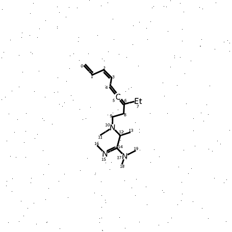 C=C/C=C\C=C=C(CC)CCN(C)C(C)/C(=N\C)N(C)C